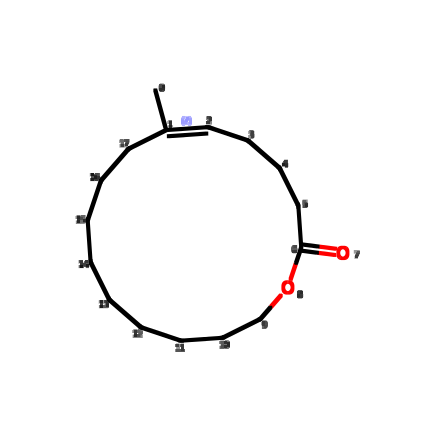 C/C1=C/CCCC(=O)OCCCCCCCCC1